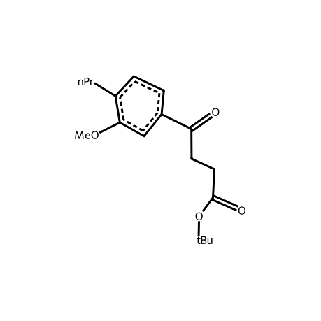 CCCc1ccc(C(=O)CCC(=O)OC(C)(C)C)cc1OC